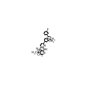 C=C/C=C(\C=C/N(C)C(CC)c1cccc(F)c1)C(/C=C\N=C)=N/CNc1cc(C(C)(C)C)ccn1